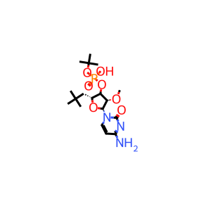 CO[C@H]1C(OP(=O)(O)OC(C)(C)C)[C@@H](CC(C)(C)C)O[C@H]1n1ccc(N)nc1=O